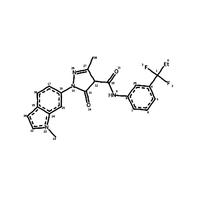 CCC(F)(F)c1cccc(NC(=O)C2C(=O)N(c3ccc4ccn(C)c4c3)N=C2C)c1